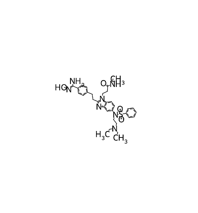 CCN(CC)CCN(c1ccc2c(c1)nc(CCc1ccc(C(N)=NO)cc1)n2CCC(=O)NC)S(=O)(=O)c1ccccc1